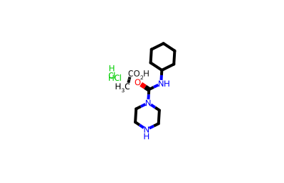 CC(=O)O.Cl.Cl.O=C(NC1CCCCC1)N1CCNCC1